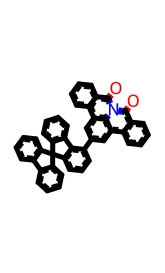 O=c1c2ccccc2c2cc(-c3cccc4c3-c3ccccc3C43c4ccccc4-c4ccccc43)cc3c4ccccc4c(=O)n1c23